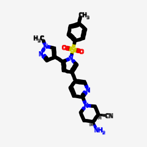 Cc1ccc(S(=O)(=O)n2cc(-c3ccc(N4CC[C@H](N)[C@H](C#N)C4)nc3)cc2-c2cnn(C)c2)cc1